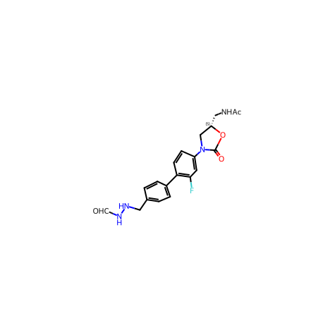 CC(=O)NC[C@H]1CN(c2ccc(-c3ccc(CNNC=O)cc3)c(F)c2)C(=O)O1